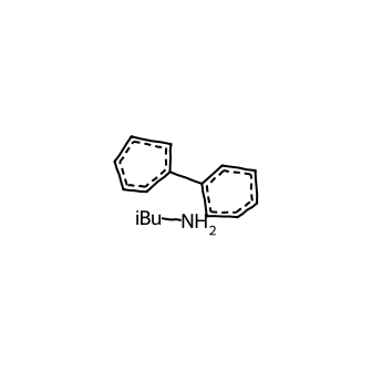 CCC(C)N.c1ccc(-c2ccccc2)cc1